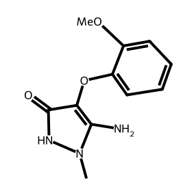 COc1ccccc1Oc1c(N)n(C)[nH]c1=O